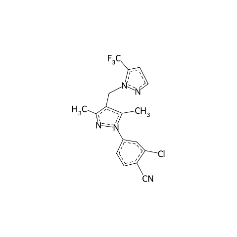 Cc1nn(-c2ccc(C#N)c(Cl)c2)c(C)c1Cn1nccc1C(F)(F)F